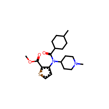 COC(=O)c1sccc1N(C(=O)C1CCC(C)CC1)C1CCN(C)CC1